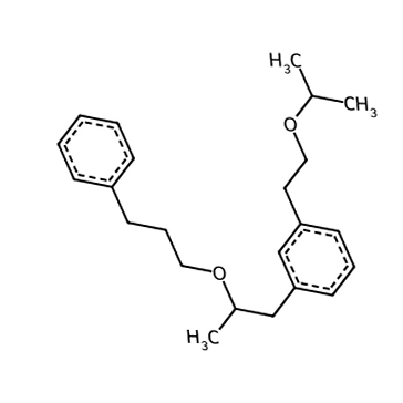 CC(C)OCCc1cccc(CC(C)OCCCc2ccccc2)c1